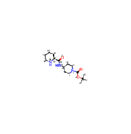 CC(C)(C)OC(=O)N1CCC(NC(=O)[C@@H]2CCCCN2)CC1